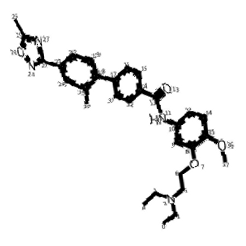 CCN(CC)CCOc1cc(NC(=O)c2ccc(-c3ccc(-c4noc(C)n4)cc3C)cc2)ccc1OC